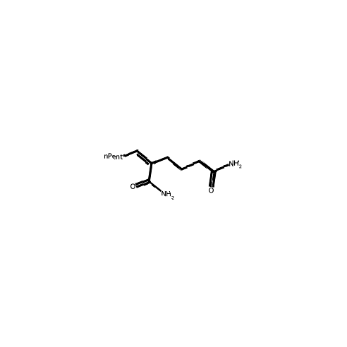 CCCCCC=C(CCCC(N)=O)C(N)=O